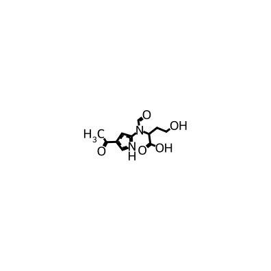 CC(=O)c1c[nH]c(N(C=O)C(CCO)C(=O)O)c1